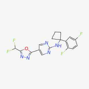 Fc1ccc(F)c(C2(Nc3ncc(-c4nnc(C(F)F)o4)cn3)CCC2)c1